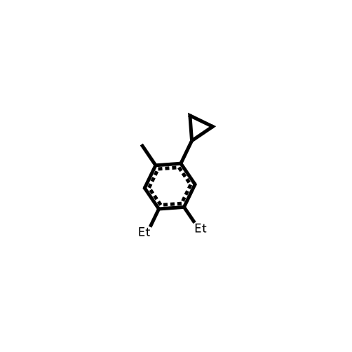 CCc1cc(C)c(C2CC2)cc1CC